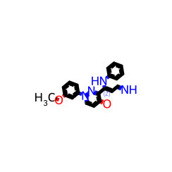 COc1cccc(-n2ccc(=O)c(/C(=C/C=N)Nc3ccccc3)n2)c1